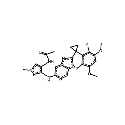 COc1cc(OC)c(F)c(C2(c3nc4cc(Nc5nn(C)cc5NC(C)=O)ncc4o3)CC2)c1F